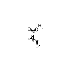 COC(=O)[C@H]1C[C@@H]1CBr